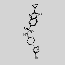 CC(C)(C)c1nnc([C@H]2CC[C@H](NS(=O)(=O)c3ccc4[nH]c(C5CC5)nc4c3)CC2)o1